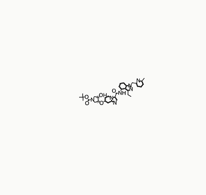 CCc1nn(Cc2cccc(C)n2)c2cccc(NC(=O)c3cnc4cc(O[C@H]5CN(C(=O)OC(C)(C)C)C[C@@H]5O)ccn34)c12